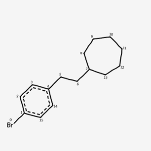 Brc1ccc(CCC2CCCCCC2)cc1